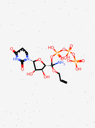 C=CCOC(N)(OP(=O)(O)OP(=O)(O)OP(=O)(O)O)[C@H]1O[C@@H](n2ccc(=O)[nH]c2=O)[C@H](O)[C@@H]1O